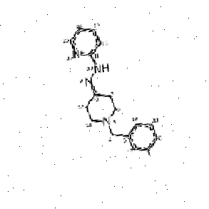 c1ccc(CN2CCC(=NNc3ccccn3)CC2)cc1